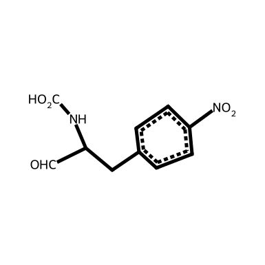 O=CC(Cc1ccc([N+](=O)[O-])cc1)NC(=O)O